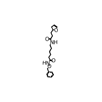 O=C(CCC1CC=CO1)NCCCCCC(=O)NOCc1ccccc1